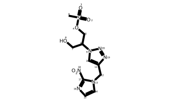 CS(=O)(=O)OCC(CO)n1cc(Cn2ccnc2[N+](=O)[O-])nn1